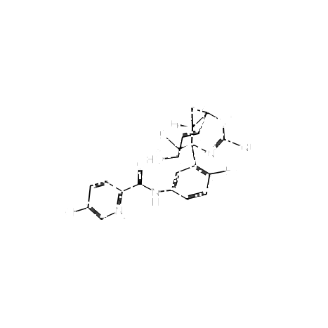 NC1=N[C@](CF)(c2cc(NC(=O)c3ccc(Cl)cn3)ccc2F)[C@@H]2C[C@]2(/C=C/CO)S1